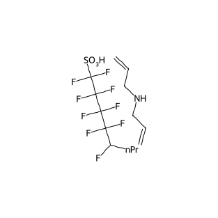 C=CCNCC=C.CCCC(F)C(F)(F)C(F)(F)C(F)(F)C(F)(F)S(=O)(=O)O